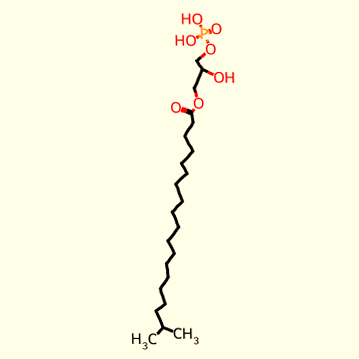 CC(C)CCCCCCCCCCCCCCCCC(=O)OCC(O)COP(=O)(O)O